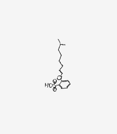 CC(C)CCCCCCOc1ccccc1S(=O)(=O)O